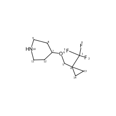 FC(F)(F)C1(COC2CCNCC2)CC1